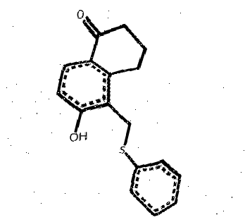 O=C1CCCc2c1ccc(O)c2CSc1ccccc1